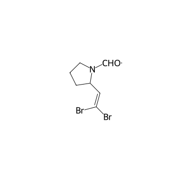 O=[C]N1CCCC1C=C(Br)Br